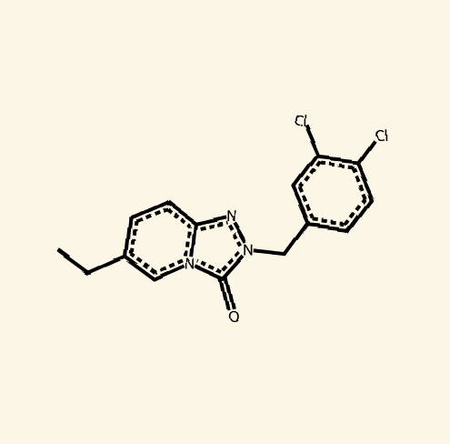 CCc1ccc2nn(Cc3ccc(Cl)c(Cl)c3)c(=O)n2c1